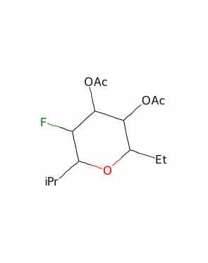 CCC1OC(C(C)C)C(F)C(OC(C)=O)C1OC(C)=O